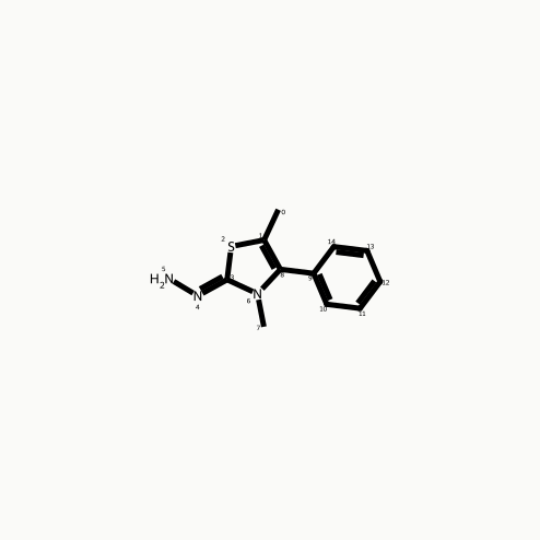 Cc1s/c(=N\N)n(C)c1-c1ccccc1